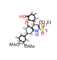 CCOC(=O)C1=C(S(C)(=O)=O)NC2=C(C(=O)CC(c3ccc(OC)c(OC)c3)C2)C1c1cccc(O)c1